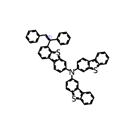 C(=C(\c1ccccc1)c1cccc2c1sc1cc(N(c3ccc4c(c3)sc3ccccc34)c3ccc4sc5ccccc5c4c3)ccc12)/c1ccccc1